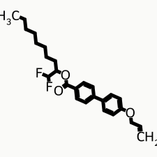 C=CCOc1ccc(-c2ccc(C(=O)OC(CCCCCCCC)C(F)F)cc2)cc1